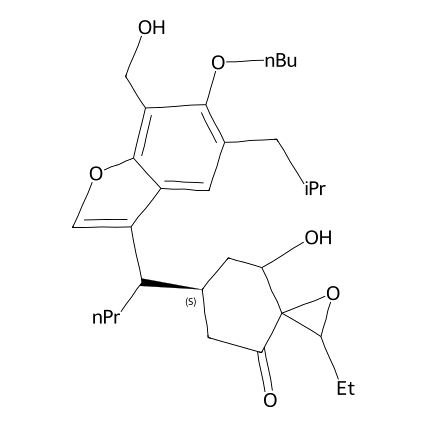 CCCCOc1c(CC(C)C)cc2c(C(CCC)[C@@H]3CC(=O)C4(OC4CC)C(O)C3)coc2c1CO